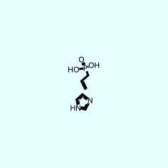 C=CCP(=O)(O)O.c1c[nH]cn1